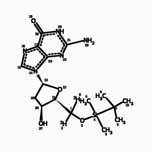 [2H]C([2H])(O[Si](C)(C)C(C)(C)C)[C@H]1O[C@@H](n2cnc3c(=O)[nH]c(N)nc32)C[C@@H]1O